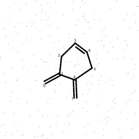 C=C1CC=CCC1=C